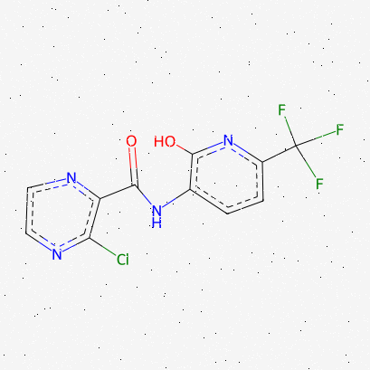 O=C(Nc1ccc(C(F)(F)F)nc1O)c1nccnc1Cl